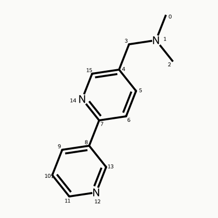 CN(C)Cc1ccc(-c2c[c]cnc2)nc1